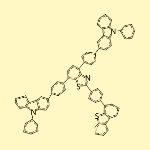 c1ccc(-n2c3ccccc3c3cc(-c4ccc(-c5ccc(-c6ccc(-c7ccc8c(c7)c7ccccc7n8-c7ccccc7)cc6)c6sc(-c7ccc(-c8cccc9c8sc8ccccc89)cc7)nc56)cc4)ccc32)cc1